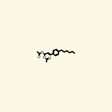 CCCCCCc1ccc(/C=C/C(OC(C)=O)OC(C)=O)cc1